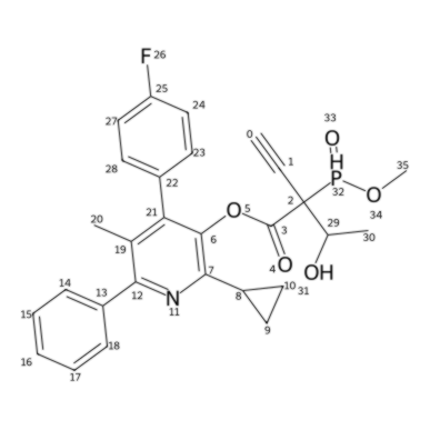 C#CC(C(=O)Oc1c(C2CC2)nc(-c2ccccc2)c(C)c1-c1ccc(F)cc1)(C(C)O)[PH](=O)OC